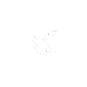 CCc1nc(Nc2ncc(C(=O)Nc3c(C)cccc3C)s2)nc(N2CCN(Cc3ccncc3)CC2)n1